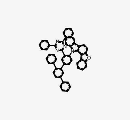 c1ccc(-c2ccc(-c3ccccc3)c(-c3ccc(-n4c5ccccc5c5ccc6oc7ccccc7c6c54)c(-c4nc(-c5ccccc5)nc(-c5ccccc5)n4)c3)c2)cc1